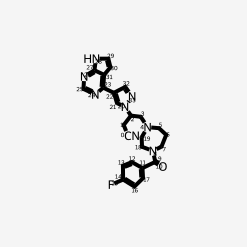 N#CCC(CN1CCCN(C(=O)c2ccc(F)cc2)CC1)n1cc(-c2ncnc3[nH]ccc23)cn1